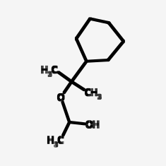 CC(O)OC(C)(C)C1CCCCC1